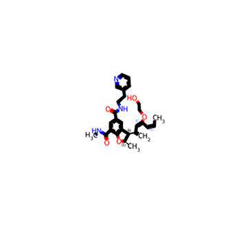 C=C(/C=C(\C=C/C)OCCO)[C@@H]1c2cc(C(=O)NCCc3cccnc3)cc(C(=O)NC)c2O[C@H]1C